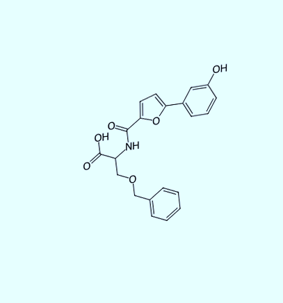 O=C(NC(COCc1ccccc1)C(=O)O)c1ccc(-c2cccc(O)c2)o1